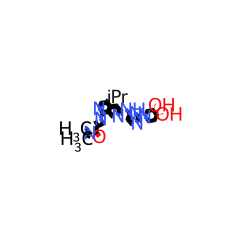 CC(C)c1cnc(N2CC(C(=O)N(C)C)C2)c2cnc(Nc3ccnc(N4CC[C@@H](O)[C@@H](O)C4)n3)cc12